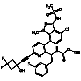 Cn1nc(NS(C)(=O)=O)c2c(Cl)ccc(-c3ccc(C#CC4(O)CC(F)(F)C4)nc3[C@H](Cc3cccc(F)c3)NC(=O)OC(C)(C)C)c21